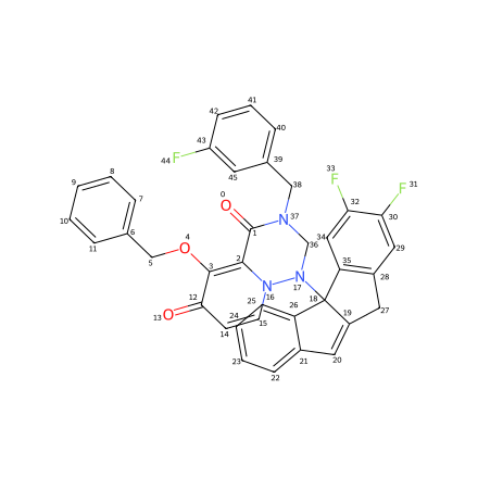 O=C1c2c(OCc3ccccc3)c(=O)ccn2N(C23C(=Cc4ccccc42)Cc2cc(F)c(F)cc23)CN1Cc1cccc(F)c1